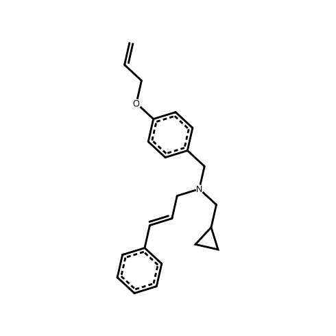 C=CCOc1ccc(CN(C/C=C/c2ccccc2)CC2CC2)cc1